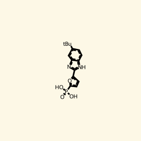 CC(C)(C)c1ccc2[nH]c(-c3ccc(P(=O)(O)O)o3)nc2c1